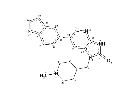 CN1CCC(Cn2c(=O)[nH]c3ncc(-c4cnc5[nH]ccc5c4)cc32)CC1